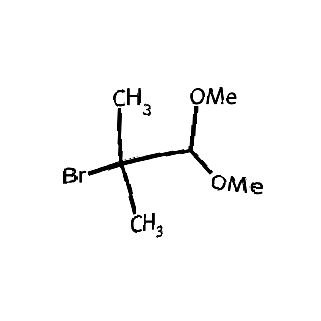 COC(OC)C(C)(C)Br